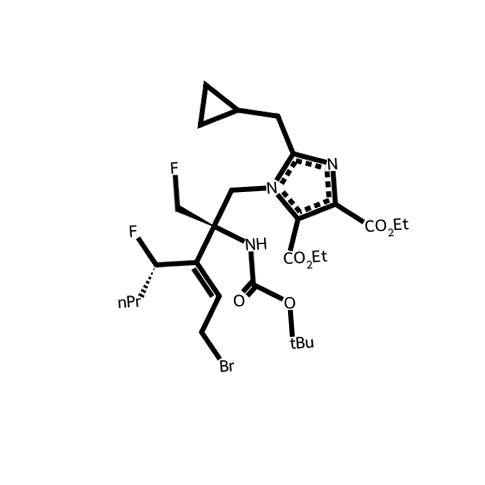 CCC[C@H](F)/C(=C\CBr)[C@](CF)(Cn1c(CC2CC2)nc(C(=O)OCC)c1C(=O)OCC)NC(=O)OC(C)(C)C